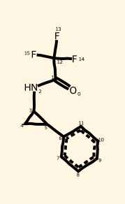 O=C(NC1CC1c1ccccc1)C(F)(F)F